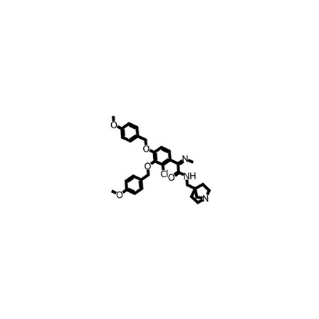 CN=C(C(=O)NCC12CCN(CC1)C2)c1ccc(OCc2ccc(OC)cc2)c(OCc2ccc(OC)cc2)c1Cl